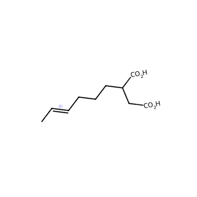 C/C=C/CCCC(CC(=O)O)C(=O)O